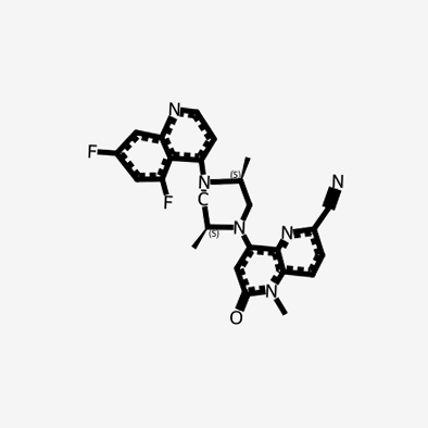 C[C@H]1CN(c2ccnc3cc(F)cc(F)c23)[C@@H](C)CN1c1cc(=O)n(C)c2ccc(C#N)nc12